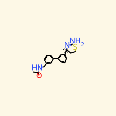 CC(=O)NCc1cccc(-c2cccc([C@]3(C)CCSC(N)=N3)c2)c1